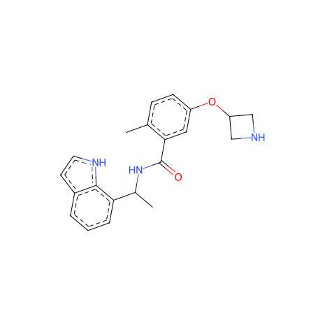 Cc1ccc(OC2CNC2)cc1C(=O)NC(C)c1cccc2cc[nH]c12